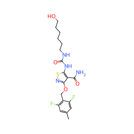 Cc1cc(F)c(COc2nsc(NC(=O)NCCCCCCO)c2C(N)=O)c(F)c1